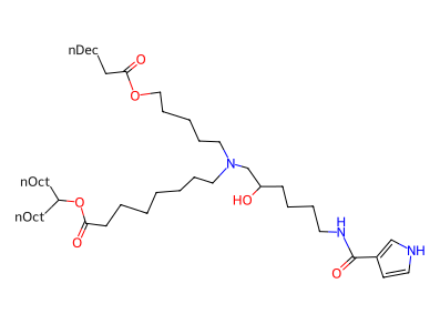 CCCCCCCCCCCC(=O)OCCCCCN(CCCCCCCC(=O)OC(CCCCCCCC)CCCCCCCC)CC(O)CCCCNC(=O)c1cc[nH]c1